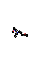 c1ccc(-c2ccc(N(c3ccc4ccc(-c5cccc(-c6ccc7ccccc7c6)c5)cc4c3)c3ccc4c5ccccc5n(-c5ccccc5)c4c3)cc2)cc1